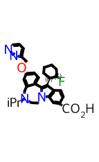 CC(C)N1CCn2c(c([C@H]3CCCC[C@@H]3F)c3ccc(C(=O)O)cc32)-c2ccc(OCc3cccnn3)cc2C1